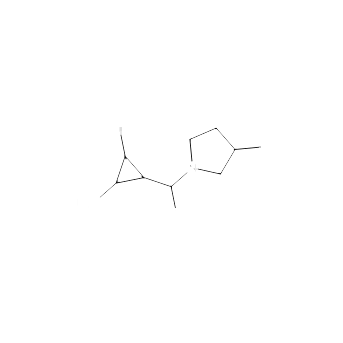 CC(C)C1C(C)C1C(O)N1CCC(F)C1